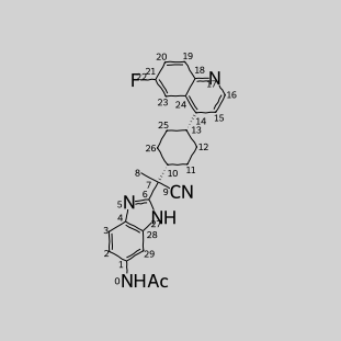 CC(=O)Nc1ccc2nc(C(C)(C#N)[C@H]3CC[C@@H](c4ccnc5ccc(F)cc54)CC3)[nH]c2c1